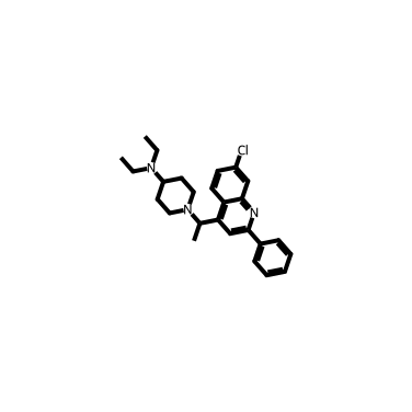 CCN(CC)C1CCN(C(C)c2cc(-c3ccccc3)nc3cc(Cl)ccc23)CC1